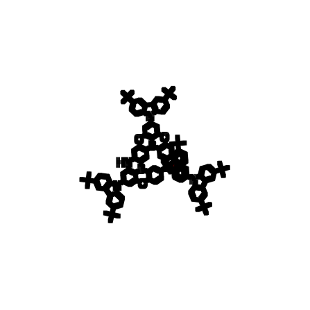 CC(C)(C)c1ccc2c(c1)B1c3cc4c(cc3Nc3cc(-n5c6ccc(C(C)(C)C)cc6c6cc(C(C)(C)C)ccc65)cc(c31)O2)Oc1cc(-n2c3ccc(C(C)(C)C)cc3c3cc(C(C)(C)C)ccc32)cc2c1B4c1cc3c(cc1O2)Oc1cc(-n2c4ccc(C(C)(C)C)cc4c4cc(C(C)(C)C)ccc42)cc2c1B3c1cc(C(C)(C)C)ccc1O2